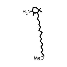 COCCCCCCCCCCCCCCCC1=C(C)C(N)CCC1(C)C